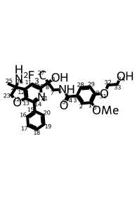 COc1cc(C(=O)NCC(O)(c2cc3c(c(-c4ccccc4)n2)OCC3(C)N)C(F)(F)F)ccc1OCCO